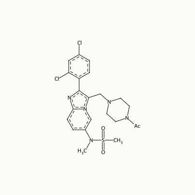 CC(=O)N1CCN(Cc2c(-c3ccc(Cl)cc3Cl)nc3ccc(N(C)S(C)(=O)=O)cn23)CC1